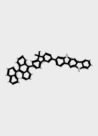 CC1(C)c2ccc(-c3ccc4c(c3)oc3cc5c(cc34)oc3ccccc35)cc2-c2ccc(-c3c4ccccc4c(-c4cccc5ccccc45)c4ccccc34)cc21